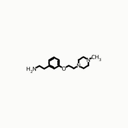 CN1CCN(CCOc2cccc(CCN)c2)CC1